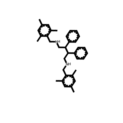 Cc1cc(C)c(CNCC(c2ccccc2)C(CNCc2c(C)cc(C)cc2C)c2ccccc2)c(C)c1